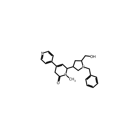 CN1C(=O)CC(c2ccncc2)=CC1C1CC(CO)N(Cc2ccccc2)C1